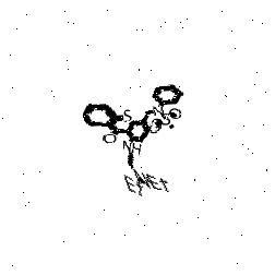 CCN(CC)CCNc1ccc(CN(c2ccccc2)S(C)(=O)=O)c2sc3ccccc3c(=O)c12